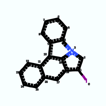 Ic1cn2c3ccccc3c3c4ccccc4cc1c32